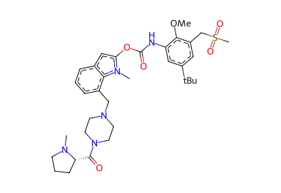 COc1c(CS(C)(=O)=O)cc(C(C)(C)C)cc1NC(=O)Oc1cc2cccc(CN3CCN(C(=O)[C@@H]4CCCN4C)CC3)c2n1C